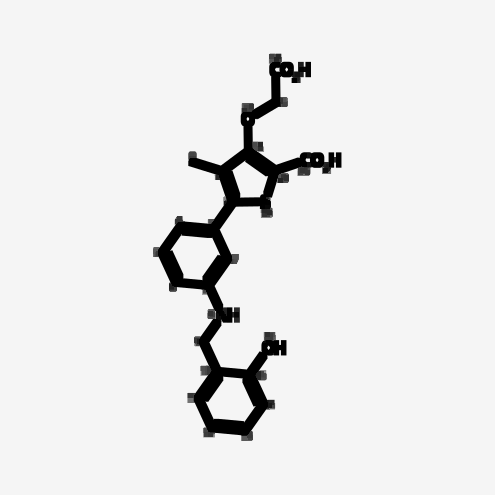 Cc1c(-c2cccc(NCc3ccccc3O)c2)sc(C(=O)O)c1OCC(=O)O